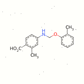 Cc1ccccc1OCNc1ccc(C(=O)O)c(C)c1